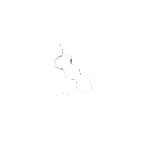 CC1CCCC(C=O)N1Cc1ccc(F)cc1